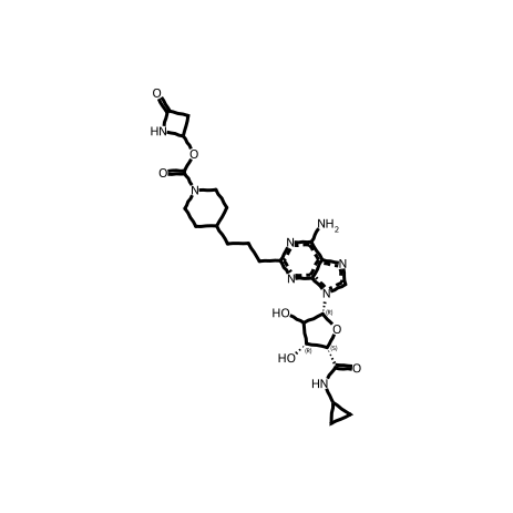 Nc1nc(CCCC2CCN(C(=O)OC3CC(=O)N3)CC2)nc2c1ncn2[C@@H]1O[C@H](C(=O)NC2CC2)[C@H](O)C1O